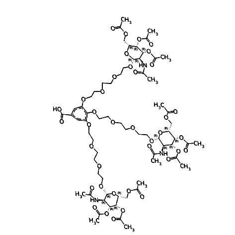 CC(=O)N[C@H]1[C@H](OCCOCCOCCOc2cc(C(=O)O)cc(OCCOCCOCCO[C@@H]3O[C@H](COC(C)=O)[C@H](OC(C)=O)[C@H](OC(C)=O)[C@H]3NC(C)=O)c2OCCOCCOCCO[C@@H]2O[C@H](COC(C)=O)[C@H](OC(C)=O)[C@H](OC(C)=O)[C@H]2NC(C)=O)O[C@H](COC(C)=O)[C@H](OC(C)=O)[C@@H]1OC(C)=O